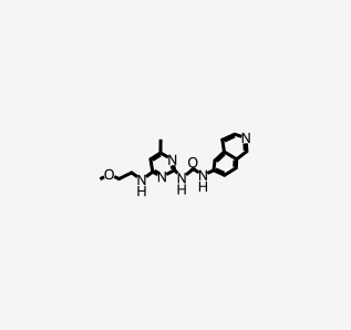 COCCNc1cc(C)nc(NC(=O)Nc2ccc3cnccc3c2)n1